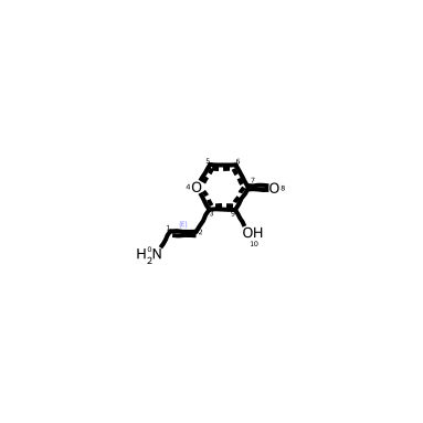 N/C=C/c1occc(=O)c1O